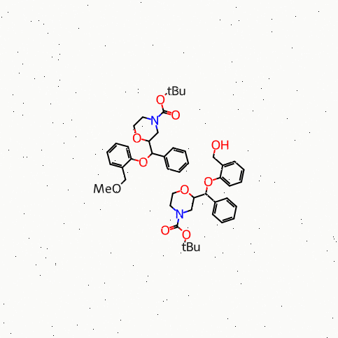 CC(C)(C)OC(=O)N1CCOC(C(Oc2ccccc2CO)c2ccccc2)C1.COCc1ccccc1OC(c1ccccc1)C1CN(C(=O)OC(C)(C)C)CCO1